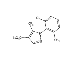 CCOC(=O)c1cnn(-c2c(C)ccc[n+]2[O-])c1C(F)(F)F